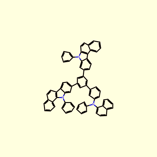 c1ccc(N(c2cccc(-c3cc(-c4ccc5c6c7ccccc7ccc6n(-c6ccccc6)c5c4)cc(-c4ccc5c6ccc7ccccc7c6n(-c6ccccc6)c5c4)c3)c2)c2cccc3ccccc23)cc1